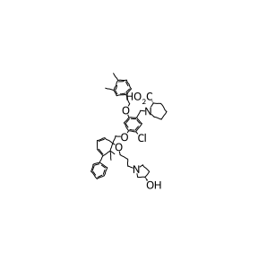 Cc1ccc(COc2cc(OCC3(OCCCN4CC[C@@H](O)C4)C=CC=C(c4ccccc4)C3(C)C)c(Cl)cc2CN2CCCC[C@H]2C(=O)O)cc1C